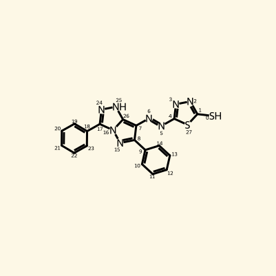 Sc1nnc(N=Nc2c(-c3ccccc3)nn3c(-c4ccccc4)n[nH]c23)s1